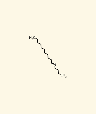 CCCCCCCCCCC=NCCCC